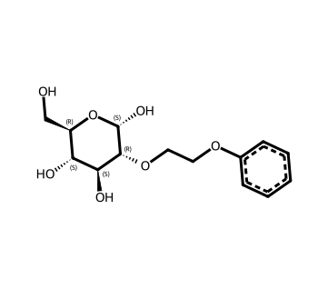 OC[C@H]1O[C@H](O)[C@H](OCCOc2ccccc2)[C@@H](O)[C@@H]1O